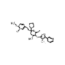 COc1ccc(CCC2(C3CCCC3)CC(O)=C(Sc3nnc(-c4cccnc4)n3C)C(=O)O2)cc1Cl